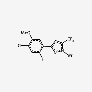 COc1cc(-c2cc(C(F)(F)F)n(C(C)C)n2)c(F)cc1Cl